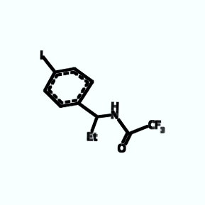 CCC(NC(=O)C(F)(F)F)c1ccc(I)cc1